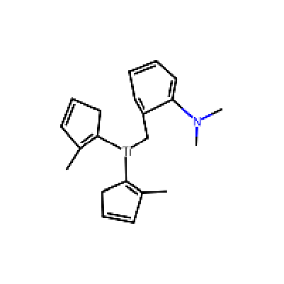 CC1=[C]([Ti]([CH2]c2ccccc2N(C)C)[C]2=C(C)C=CC2)CC=C1